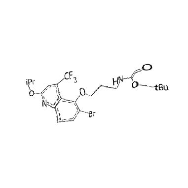 CC(C)Oc1cc(C(F)(F)F)c2c(OCCCNC(=O)OC(C)(C)C)c(Br)ccc2n1